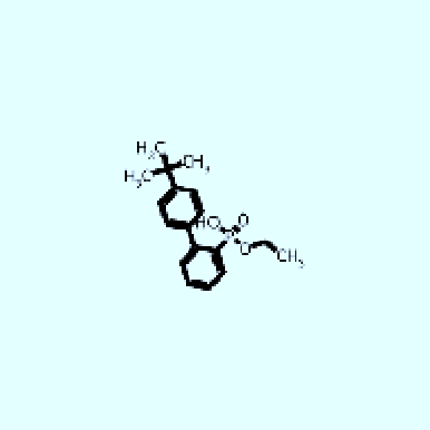 CCOP(=O)(O)c1ccccc1-c1ccc(C(C)(C)C)cc1